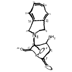 NC1CC(=O)N2OC1(N1Cc3ccccc3C1)C2=O